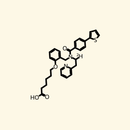 [2H]C(Cc1ccccn1)N(Cc1ccccc1OCCCCCC(=O)O)C(=O)c1ccc(-c2cccs2)cc1